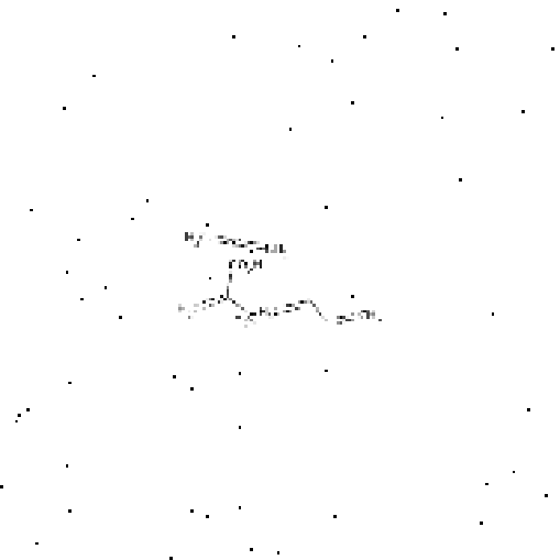 C=C(C)C(=O)O.C=C=C.C=CC=C